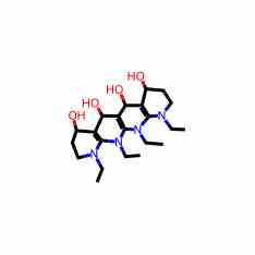 CCN1CCC(O)C2=C1N(CC)C1=C(C2O)C(O)C2=C(N(CC)CCC2O)N1CC